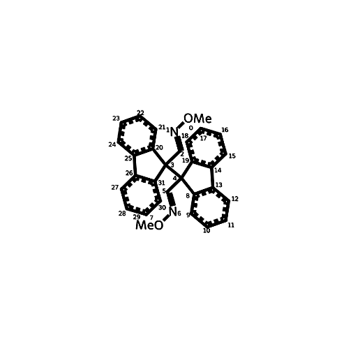 CON=CC1(C2(/C=N/OC)c3ccccc3-c3ccccc32)c2ccccc2-c2ccccc21